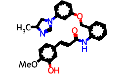 COc1ccc(/C=C/C(=O)Nc2ccccc2COc2cccc(N3C=NC(C)C3)c2)cc1O